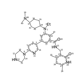 CCN(c1cc(-c2ccc(N3CCNCC3)nc2)cc(C(=O)NCc2c(C)cc(C)[nH]c2=O)c1C)C1CCC(N(C)C)CC1